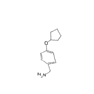 NCc1ccc(OC2CCCC2)cc1